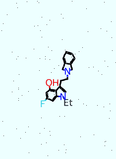 CCn1cc(CCN2Cc3ccccc3C2)c2c(O)cc(F)cc21